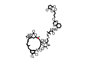 COc1cc2cc(c1Cl)N(C)C(=O)C[C@H](OC(=O)[C@H](C)N(C)C(=O)CCSSC(C)(C)CC(=O)N/N=C1/CCCc3nc(OCCCC(=O)ON4C(=O)CCC4=O)cnc31)C(C)(O)C[C@H](C)[C@@H]1C[C@@](O)(NC(=O)O1)[C@H](OC)/C=C/C=C(\C)C2